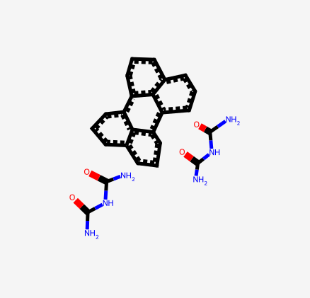 NC(=O)NC(N)=O.NC(=O)NC(N)=O.c1cc2cccc3c4cccc5cccc(c(c1)c23)c54